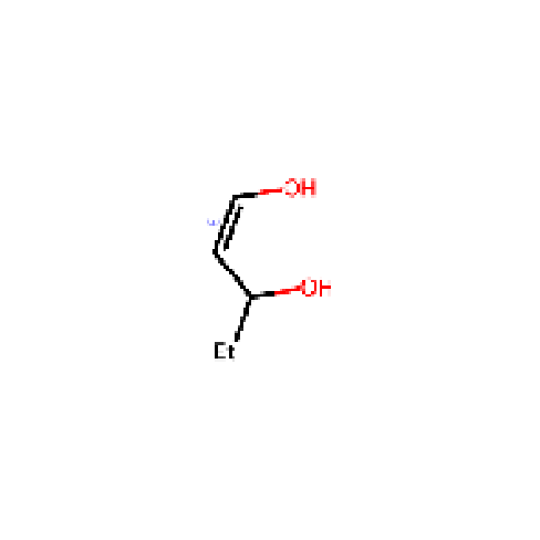 CCC(O)/C=C\O